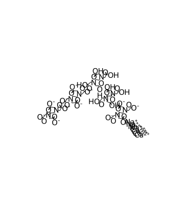 O=C(O)CN(CCN(CC(=O)O)CC(=O)O)CC(=O)O.O=C(O)CN(CCN(CC(=O)O)CC(=O)O)CC(=O)O.O=C([O-])CN(CCN(CC(=O)[O-])CC(=O)[O-])CC(=O)[O-].O=C([O-])CN(CCN(CC(=O)[O-])CC(=O)[O-])CC(=O)[O-].O=C([O-])CN(CCN(CC(=O)[O-])CC(=O)[O-])CC(=O)[O-].[Ca+2].[Ca+2].[Ca+2].[Ca+2].[Na+].[Na+].[Na+].[Na+]